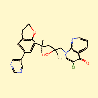 CC(C)(CC(O)(Cn1cc(Cl)c(=O)c2cccnc21)C(F)(F)F)c1cc(-c2cncnc2)cc2c1OCC2